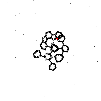 c1ccc(-c2nc(-c3ccccc3)nc(-c3cc(-c4c(-c5ccccc5)cccc4-c4ccccc4)cnc3-c3cccc4oc5ccc6c7ccccc7n(-c7ccccc7)c6c5c34)n2)cc1